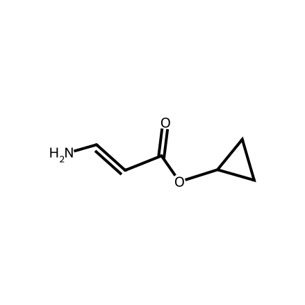 NC=CC(=O)OC1CC1